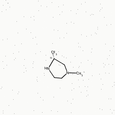 CN1CCN[C@H](C(F)(F)F)C1